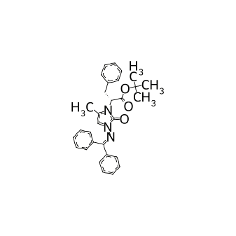 Cc1cn(N=C(c2ccccc2)c2ccccc2)c(=O)n1[C@H](Cc1ccccc1)C(=O)OC(C)(C)C